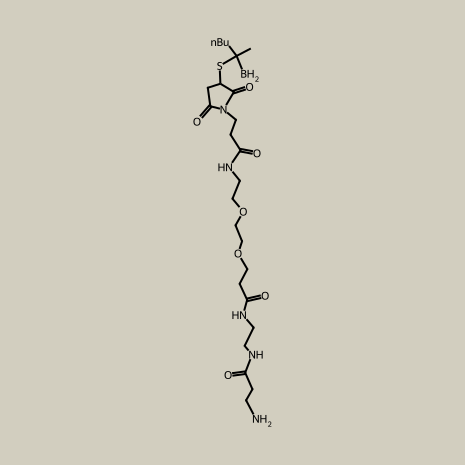 BC(C)(CCCC)SC1CC(=O)N(CCC(=O)NCCOCCOCCC(=O)NCCNC(=O)CCN)C1=O